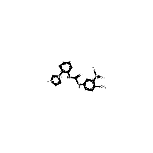 Cc1ccc(NC(=O)Nc2ccccc2-n2ccnc2)cc1[N+](=O)[O-]